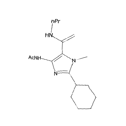 C=C(NCCC)c1c(NC(C)=O)nc(C2CCCCC2)n1C